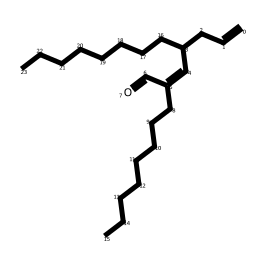 C=CCC(C=C(C=O)CCCCCCCC)CCCCCCCC